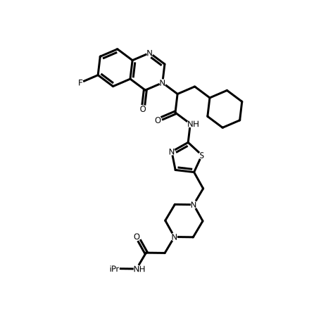 CC(C)NC(=O)CN1CCN(Cc2cnc(NC(=O)C(CC3CCCCC3)n3cnc4ccc(F)cc4c3=O)s2)CC1